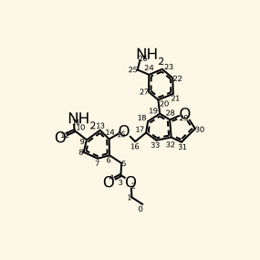 CCOC(=O)Cc1ccc(C(N)=O)cc1OCc1cc(-c2cccc(CN)c2)c2occc2c1